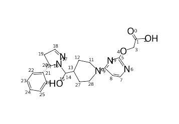 O=C(O)COc1nccc(N2CCC(C(O)N3N=CC[C@H]3c3ccccc3)CC2)n1